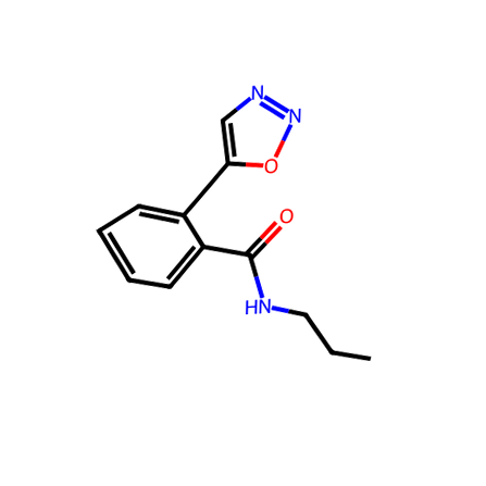 CCCNC(=O)c1ccccc1-c1cnno1